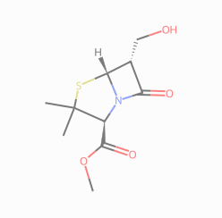 COC(=O)[C@@H]1N2C(=O)[C@@H](CO)[C@H]2SC1(C)C